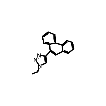 CCn1cc(-c2cc3ccccc3c3ccccc23)nn1